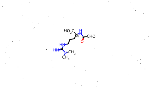 CN(C)C(=N)NCCC[C@H](NC(=O)C=O)C(=O)O